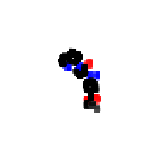 COC(=O)c1ccc(NC2CCN(c3cccc4cccnc34)C2=O)cc1